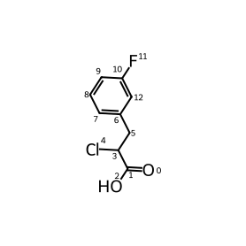 O=C(O)C(Cl)Cc1cccc(F)c1